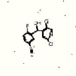 [C-]#[N+]c1ccc(F)c(C(O)c2cc(Cl)ncc2Cl)c1